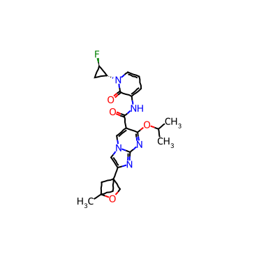 CC(C)Oc1nc2nc(C34COC(C)(C3)C4)cn2cc1C(=O)Nc1cccn([C@@H]2C[C@H]2F)c1=O